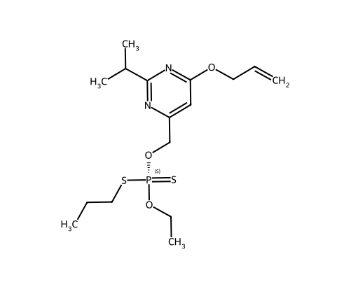 C=CCOc1cc(CO[P@](=S)(OCC)SCCC)nc(C(C)C)n1